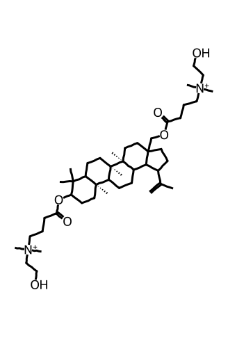 C=C(C)C1CCC2(COC(=O)CCC[N+](C)(C)CCO)CC[C@@]3(C)C(CCC4[C@@]5(C)CCC(OC(=O)CCC[N+](C)(C)CCO)C(C)(C)C5CC[C@]43C)C12